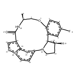 C[C@H]1COc2ccc(F)cc2[C@@]23C[C@@H]2CCN3c2ccn3ncc(c3n2)C(=O)N1